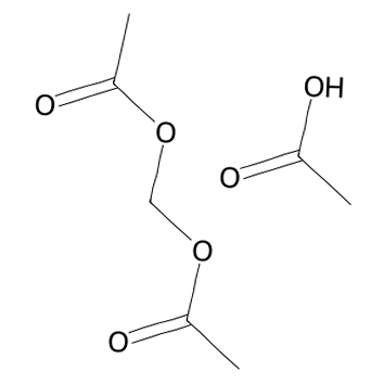 CC(=O)O.CC(=O)OCOC(C)=O